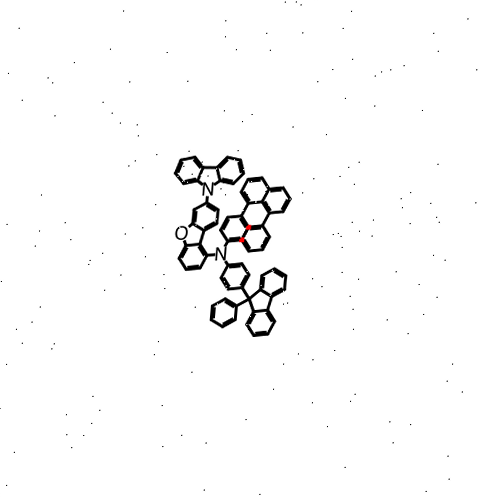 c1ccc(-c2cccc3cccc(-c4ccc(N(c5ccc(C6(c7ccccc7)c7ccccc7-c7ccccc76)cc5)c5cccc6oc7cc(-n8c9ccccc9c9ccccc98)ccc7c56)cc4)c23)cc1